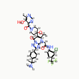 Cc1ncnc(C(=O)N2CCC3(CC2)OC(C)c2c3c(=O)n3nc(-c4ccc(C(C)(C)N(C)C)cc4)nc3n2CC(=O)Nc2ccc(C(F)(F)F)cc2Cl)c1O